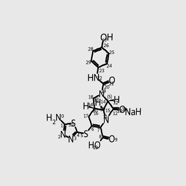 Nc1nnc(SC2=C(C(=O)O)N3C(=O)[C@@H]4[C@H]3[C@H](C2)CN4C(=O)Nc2ccc(O)cc2)s1.[NaH]